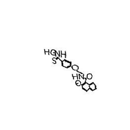 COc1ccc2ccccc2c1C(=O)NCCOc1ccc(C(=S)NO)cc1